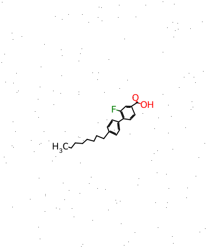 CCCCCCCCc1ccc(-c2ccc(C(=O)O)cc2F)cc1